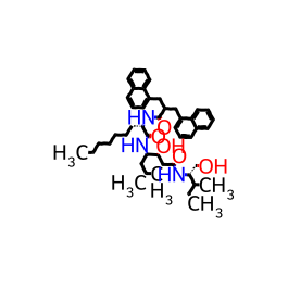 CCCCCCC[C@H](NC(=O)C(Cc1cccc2ccccc12)Cc1cccc2ccccc12)C(=O)NC(CC(C)C)C(O)CC(=O)N[C@H](CO)C(C)CC